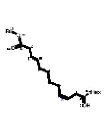 CCCCCC[C@@H](O)C/C=C\CCCCCCCC(=O)OC(C)CC